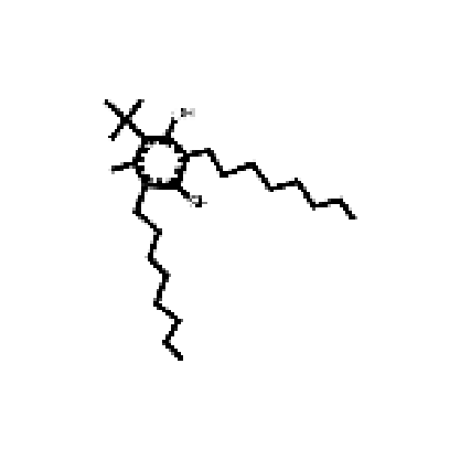 CCCCCCCCc1c(C)c(C(C)(C)C)c(O)c(CCCCCCCC)c1S